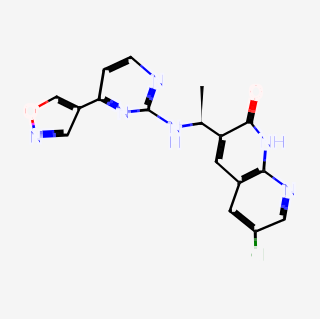 C[C@H](Nc1nccc(-c2cnoc2)n1)c1cc2cc(Cl)cnc2[nH]c1=O